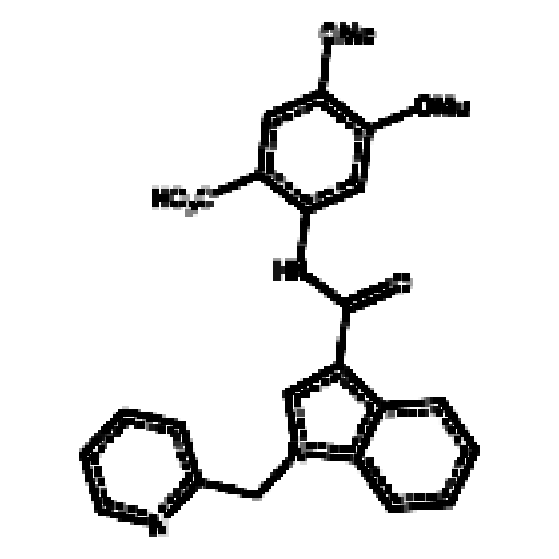 COc1cc(NC(=O)c2cn(Cc3ccccn3)c3ccccc23)c(C(=O)O)cc1OC